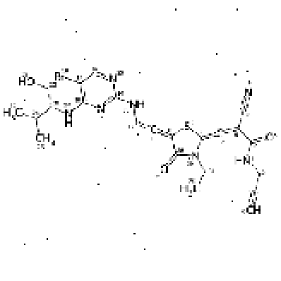 C#CCNC(=O)C(=C=c1sc(=C=CNc2ncc(Br)c(N[C@@H](CO)C(C)C)n2)c(=O)n1CC)C#N